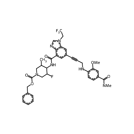 CNC(=O)c1ccc(NCC#Cc2cc(C(=O)NC3C(C)CN(C(=O)OCc4ccccc4)CC3F)c3ncn(CC(F)(F)F)c3c2)c(OC)c1